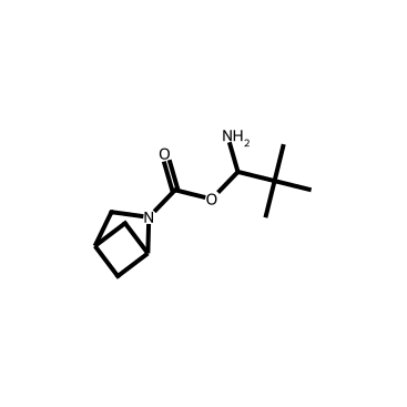 CC(C)(C)C(N)OC(=O)N1CC2CC1C2